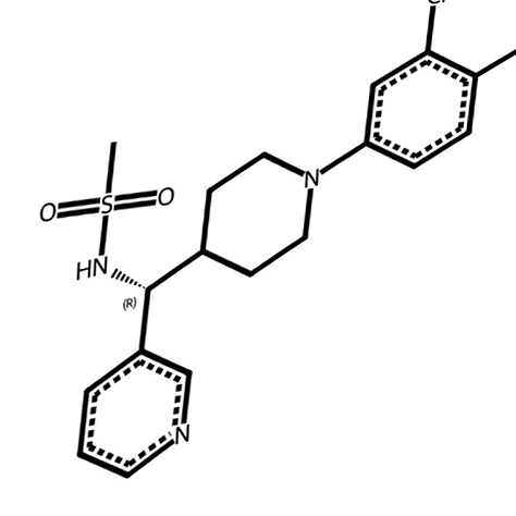 CS(=O)(=O)N[C@@H](c1cccnc1)C1CCN(c2ccc(Cl)c(Cl)c2)CC1